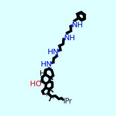 CC(C)CCC[C@@H](C)[C@H]1CCC2C3C(CC[C@@]21C)[C@@]1(C)CC[C@@H](NCCCNCCCCNCCCNCc2ccccc2)C[C@@H]1C[C@@H]3O